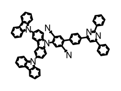 N#Cc1cc(-n2c3ccc(-n4c5ccccc5c5ccccc54)cc3c3cc(-n4c5ccccc5c5ccccc54)ccc32)c(C#N)cc1-c1ccc(-c2cc(-c3ccccc3)nc(-c3ccccc3)n2)cc1